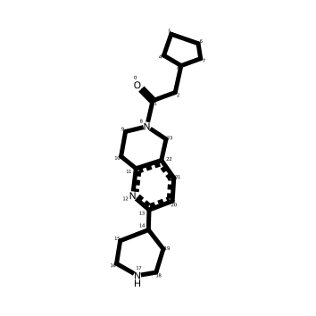 O=C(CC1CCCC1)N1CCc2nc(C3CCNCC3)ccc2C1